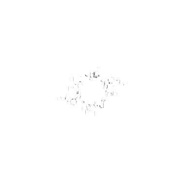 CC(C)C[C@H]1C(=O)O[C@H](C)C(=O)N(C)[C@@H](CC(C)(C)F)C(=O)O[C@H](Cc2ccc(N3CCOCC3)cc2)C(=O)N(C)[C@@H](CC(C)C)C(=O)O[C@H](C)C(=O)N(C)[C@@H](CC(C)(C)F)C(=O)O[C@H](Cc2ccc(N3CCOCC3)cc2)C(=O)N1C